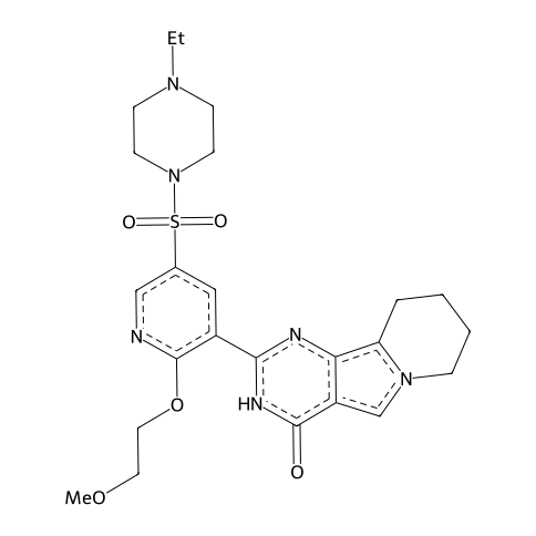 CCN1CCN(S(=O)(=O)c2cnc(OCCOC)c(-c3nc4c5n(cc4c(=O)[nH]3)CCCC5)c2)CC1